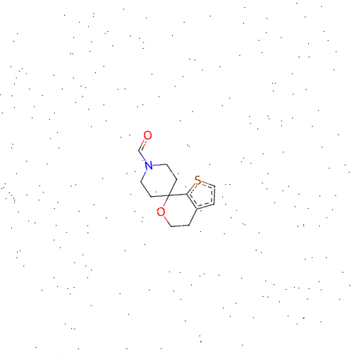 O=CN1CCC2(CC1)OCCc1ccsc12